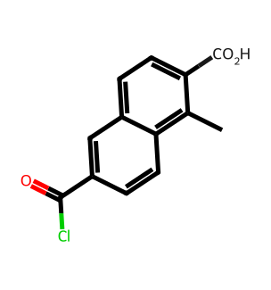 Cc1c(C(=O)O)ccc2cc(C(=O)Cl)ccc12